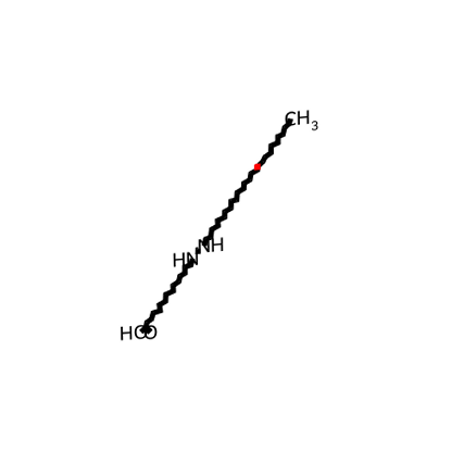 CCCCCCCCCCCCCCCCCCCCCCCCCCCNCCNCCCCCCCCCCCCCCC(=O)O